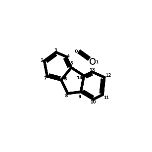 C=O.c1ccc2c(c1)Cc1ccccc1-2